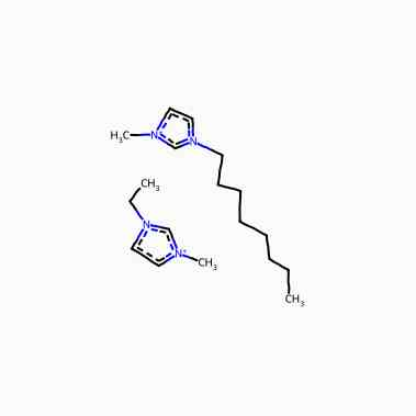 CCCCCCCCn1cc[n+](C)c1.CCn1cc[n+](C)c1